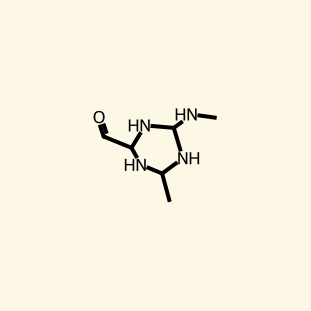 CNC1NC(C)NC(C=O)N1